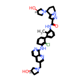 Cc1c(NC(=O)c2cc3n(n2)CCCC3N2CC[C@@H](O)C2)cccc1-c1cccc(Nc2nccc3cc(CN4CC[C@@H](O)C4)cnc23)c1Cl